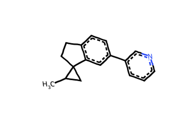 CC1CC12CCc1ccc(-c3cccnc3)cc12